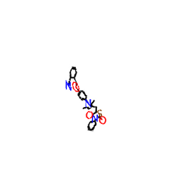 Cc1cc(/C=C2/SC(=O)N(c3ccccc3)C2=O)c(C)n1-c1ccc(OCc2ccccc2C#N)cc1